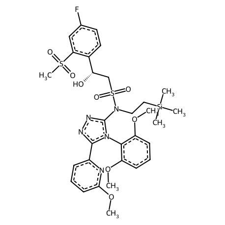 COc1cccc(-c2nnc(N(CC[Si](C)(C)C)S(=O)(=O)C[C@H](O)c3ccc(F)cc3S(C)(=O)=O)n2-c2c(OC)cccc2OC)n1